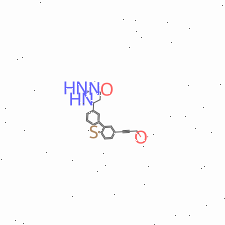 COCC#Cc1ccc2sc3ccc(C4CC(=O)N(C)C(=N)N4)cc3c2c1